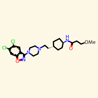 COCCC(=O)N[C@H]1CC[C@H](CCN2CCN(c3noc4cc(Cl)c(Cl)cc34)CC2)CC1